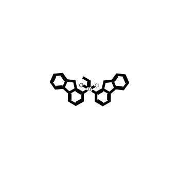 C[CH]=[Zr]([Cl])([Cl])([c]1cccc2c1Cc1ccccc1-2)[c]1cccc2c1Cc1ccccc1-2